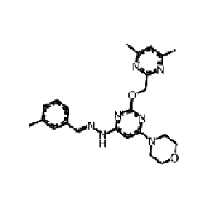 Cc1cccc(/C=N/Nc2cc(N3CCOCC3)nc(OCc3nc(C)cc(C)n3)n2)c1